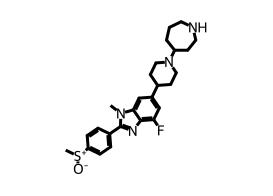 Cn1c(-c2ccc([S+](C)[O-])cc2)nc2c(F)cc(C3CCN(C4CCCNCC4)CC3)cc21